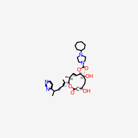 C/C(=C\C=C\C(C)c1ccncn1)[C@H]1OC(=O)C[C@@H](O)CC[C@](C)(O)[C@@H](OC(=O)N2CCN(C3CCCCCC3)CC2)/C=C/[C@@H]1C